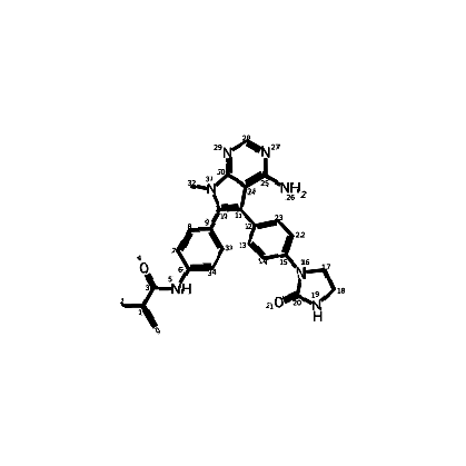 C=C(C)C(=O)Nc1ccc(-c2c(-c3ccc(N4CCNC4=O)cc3)c3c(N)ncnc3n2C)cc1